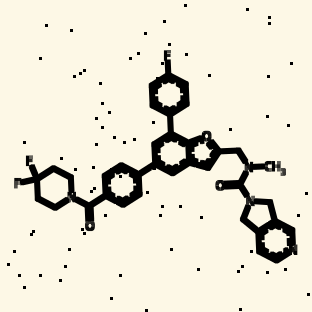 CN(Cc1cc2cc(-c3ccc(C(=O)N4CCC(F)(F)CC4)cc3)cc(-c3ccc(F)cc3)c2o1)C(=O)N1Cc2ccncc2C1